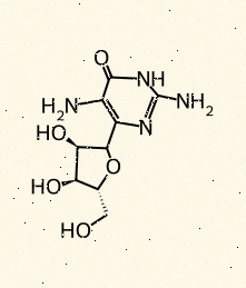 Nc1nc(C2O[C@H](CO)[C@@H](O)[C@H]2O)c(N)c(=O)[nH]1